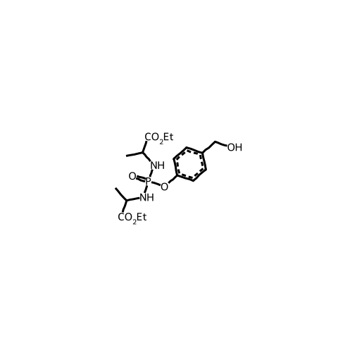 CCOC(=O)C(C)NP(=O)(NC(C)C(=O)OCC)Oc1ccc(CO)cc1